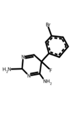 NC1=NC(N)N=CC1(F)c1cccc(Br)c1